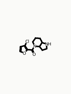 O=C(c1occc1Cl)N1CCCC2NCCC21